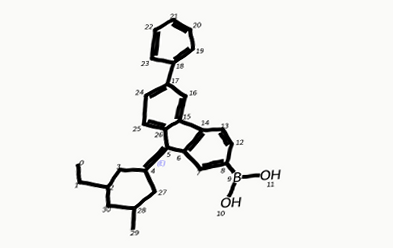 CCC1C/C(=C2/c3cc(B(O)O)ccc3-c3cc(-c4ccccc4)ccc32)CC(C)C1